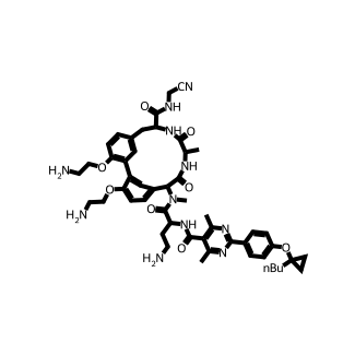 CCCCC1(Oc2ccc(-c3nc(C)c(C(=O)NC(CCN)C(=O)N(C)C4C(=O)NC(C)C(=O)NC(C(=O)NCC#N)Cc5ccc(OCCN)c(c5)-c5cc4ccc5OCCN)c(C)n3)cc2)CC1